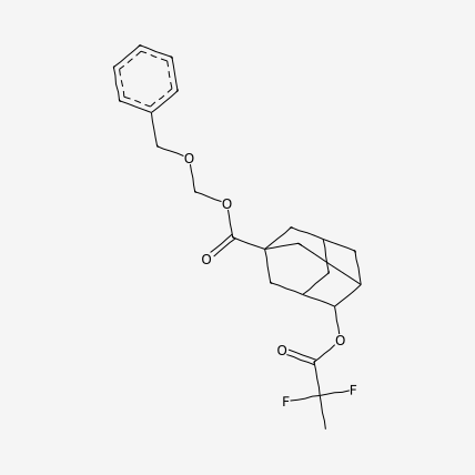 CC(F)(F)C(=O)OC1C2CC3CC1CC(C(=O)OCOCc1ccccc1)(C3)C2